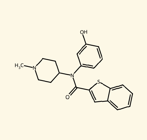 CN1CCC(N(C(=O)c2cc3ccccc3s2)c2cccc(O)c2)CC1